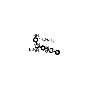 CCn1cnc2c(-c3ccc(S(=O)(=O)N4CCN(c5ccccc5)CC4)cc3)nc(C3CCC(N)CC3)nc21.NN